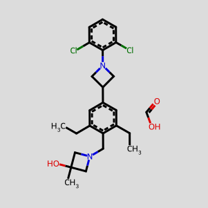 CCc1cc(C2CN(c3c(Cl)cccc3Cl)C2)cc(CC)c1CN1CC(C)(O)C1.O=CO